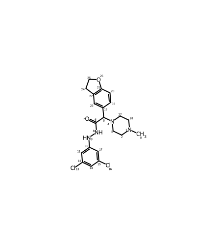 CN1CCN(C(C(=O)NNc2cc(Cl)cc(Cl)c2)c2ccc3c(c2)CCO3)CC1